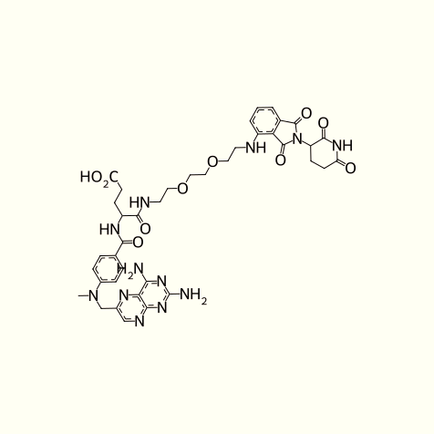 CN(Cc1cnc2nc(N)nc(N)c2n1)c1ccc(C(=O)NC(CCC(=O)O)C(=O)NCCOCCOCCNc2cccc3c2C(=O)N(C2CCC(=O)NC2=O)C3=O)cc1